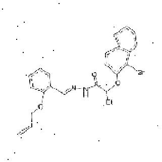 C=CCOc1ccccc1C=NNC(=O)C(CC)Oc1ccc2ccccc2c1Br